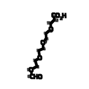 O=COCCOCCOCCOCCC(=O)O